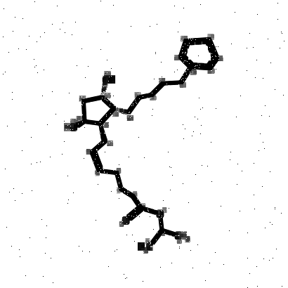 CC(C)OC(=O)CCC/C=C\C[C@@H]1[C@@H](CC[CH]CCc2ccccc2)[C@@H](O)C[C@@H]1O